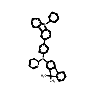 CC1(C)c2ccccc2-c2ccc(N(c3ccc(-c4ccc5c(c4)c4ccccc4n5-c4ccccc4)cc3)C3CC=CC=N3)cc21